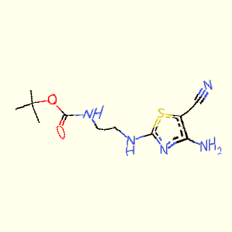 CC(C)(C)OC(=O)NCCNc1nc(N)c(C#N)s1